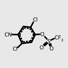 [C-]#[N+]c1cc(Cl)c(OS(=O)(=O)C(F)(F)F)cc1Cl